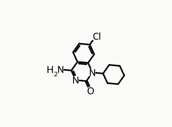 Nc1nc(=O)n(C2CCCCC2)c2cc(Cl)ccc12